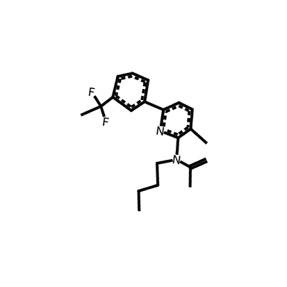 C=C(C)N(CCCC)c1nc(-c2cccc(C(C)(F)F)c2)ccc1C